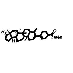 COC(=O)C1CC=C(C2=CC[C@@]3(C)C(CCC4(C)C3CCC3[C@H]5CCCC5(N)CC[C@]34C)C2C)CC1